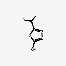 Cc1nnc(C(F)F)o1